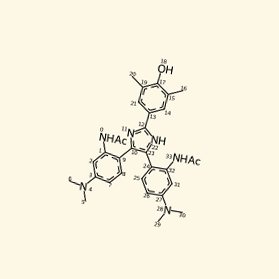 CC(=O)Nc1cc(N(C)C)ccc1-c1nc(-c2cc(C)c(O)c(C)c2)[nH]c1-c1ccc(N(C)C)cc1NC(C)=O